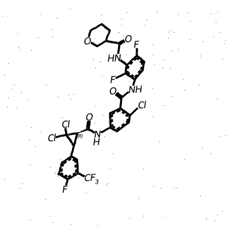 O=C(Nc1ccc(F)c(NC(=O)C2CCCOC2)c1F)c1cc(NC(=O)[C@H]2C(c3ccc(F)c(C(F)(F)F)c3)C2(Cl)Cl)ccc1Cl